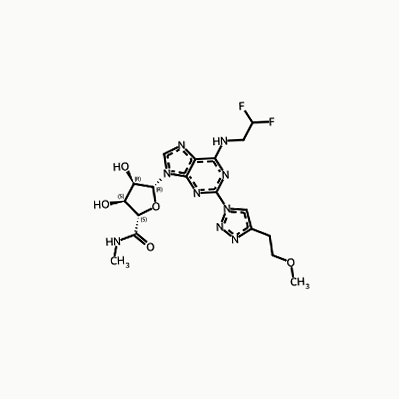 CNC(=O)[C@H]1O[C@@H](n2cnc3c(NCC(F)F)nc(-n4cc(CCOC)nn4)nc32)[C@H](O)[C@@H]1O